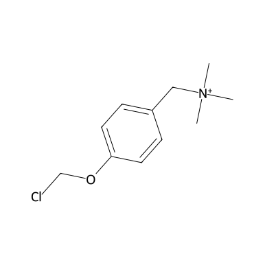 C[N+](C)(C)Cc1ccc(OCCl)cc1